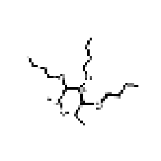 CCCCOC1C(C)O[C@H](F)C(OCCCC)[C@@H]1OCCCC